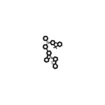 CC1(C)c2ccccc2-c2ccc(N(c3ccccc3)c3cccc(-c4ccc5c(c4)c4ccccc4n5-c4cccc5c4sc4ccccc45)c3)cc21